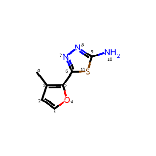 Cc1ccoc1-c1nnc(N)s1